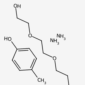 Cc1ccc(O)cc1.N.N.OCCOCCOCCO